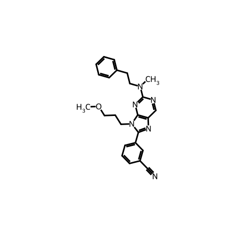 COCCCn1c(-c2cccc(C#N)c2)nc2cnc(N(C)CCc3ccccc3)nc21